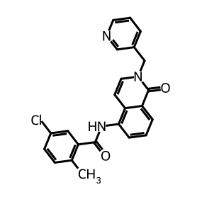 Cc1ccc(Cl)cc1C(=O)Nc1cccc2c(=O)n(Cc3cccnc3)ccc12